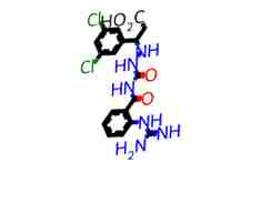 N=C(N)Nc1ccccc1C(=O)NC(=O)NNC(CC(=O)O)c1cc(Cl)cc(Cl)c1